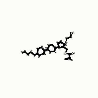 C=C(C)C(=O)OCc1cc(C2CCC(C3CCC(CCCCC)CC3)CC2)ccc1OCCO